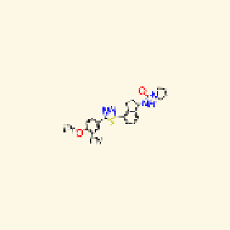 CC(C)Oc1ccc(-c2nnc(-c3cccc4c3CCC4NC(=O)N3CCCC3)s2)cc1C#N